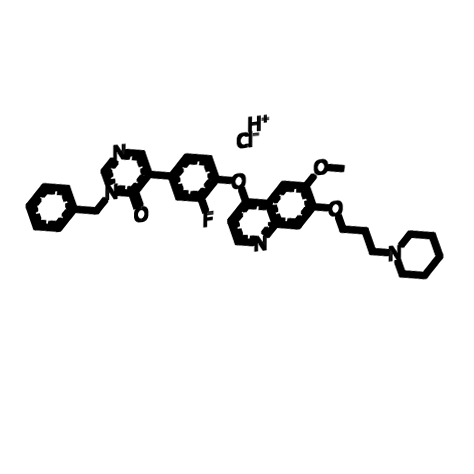 COc1cc2c(Oc3ccc(-c4cncn(Cc5ccccc5)c4=O)cc3F)ccnc2cc1OCCCN1CCCCC1.[Cl-].[H+]